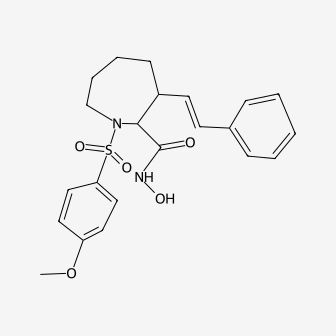 COc1ccc(S(=O)(=O)N2CCCCC(/C=C/c3ccccc3)C2C(=O)NO)cc1